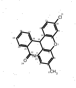 Cc1ccc2c(c1)Oc1cc(Cl)ccc1C2c1ccccc1C(N)=O